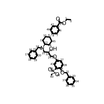 CCOC(=O)c1ccc([C@H]2CC[C@H](N(Cc3ccccc3)C[C@H](O)COc3ccc(OCc4ccccc4)c(S(C)(=O)=O)c3)CC2)cc1